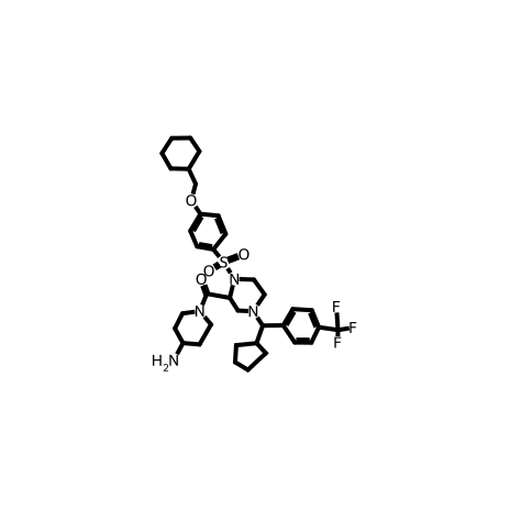 NC1CCN(C(=O)C2CN(C(c3ccc(C(F)(F)F)cc3)C3CCCC3)CCN2S(=O)(=O)c2ccc(OCC3CCCCC3)cc2)CC1